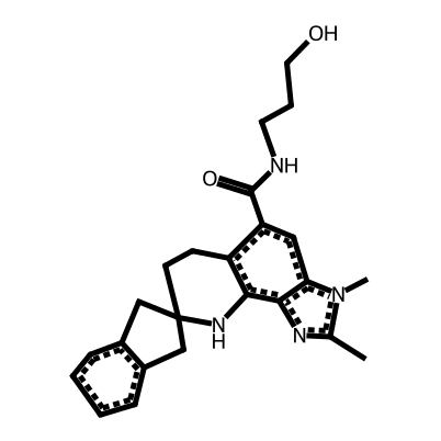 Cc1nc2c3c(c(C(=O)NCCCO)cc2n1C)CCC1(Cc2ccccc2C1)N3